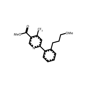 COCCCc1ccccc1-c1cc(C(F)(F)F)c(C(=O)OC)cn1